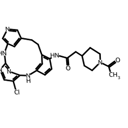 CC(=O)N1CCC(CC(=O)Nc2ccc3cc2CCc2cncc(c2)Nc2ncc(Cl)c(n2)N3)CC1